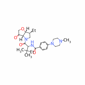 CC[C@H]1CN(C(=O)C(NC(=O)c2ccc(N3CCN(C)CC3)cc2)C(C)(C)CC)[C@@H]2C(=O)CO[C@H]12